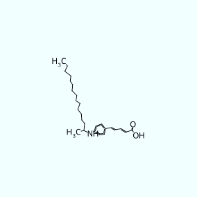 CCCCCCCCCCCCCCC(C)Nc1ccc(/C=C/C=C/C(=O)O)cc1